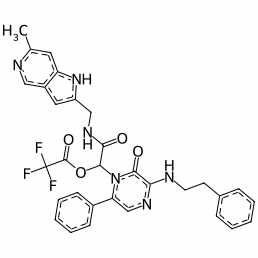 Cc1cc2[nH]c(CNC(=O)C(OC(=O)C(F)(F)F)n3c(-c4ccccc4)cnc(NCCc4ccccc4)c3=O)cc2cn1